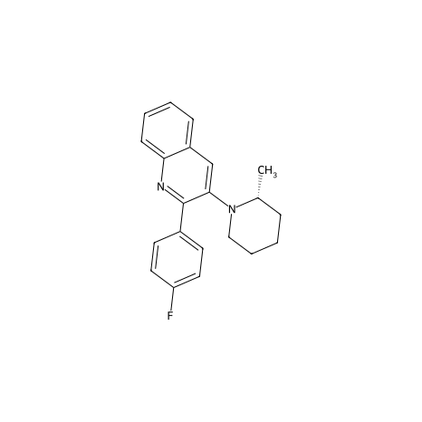 C[C@@H]1CCCCN1c1cc2ccccc2nc1-c1ccc(F)cc1